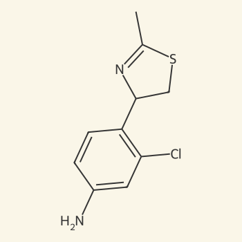 CC1=NC(c2ccc(N)cc2Cl)CS1